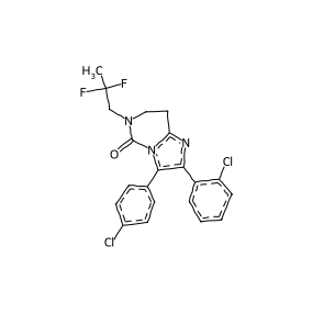 CC(F)(F)CN1CCc2nc(-c3ccccc3Cl)c(-c3ccc(Cl)cc3)n2C1=O